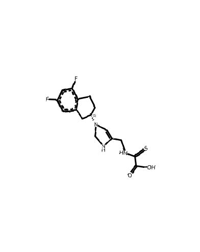 O=C(O)C(=S)NCC1=CN([C@H]2CCc3c(F)cc(F)cc3C2)CN1